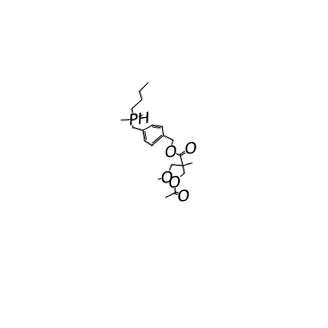 CCCC[PH](C)(C)Cc1ccc(COC(=O)C(C)(COC)COC(C)=O)cc1